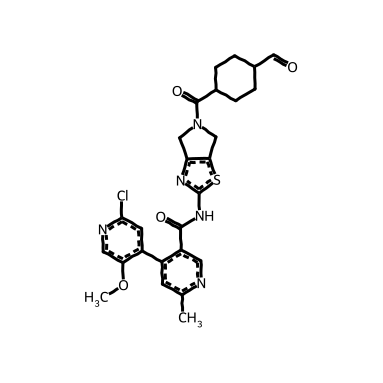 COc1cnc(Cl)cc1-c1cc(C)ncc1C(=O)Nc1nc2c(s1)CN(C(=O)C1CCC(C=O)CC1)C2